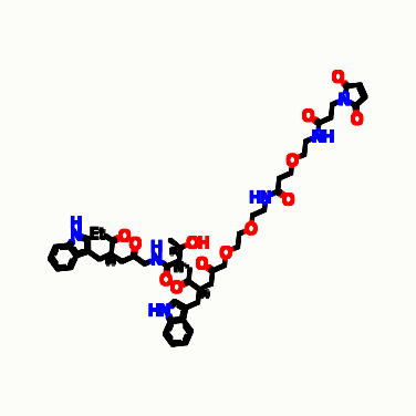 CCC(=O)[C@@H](CC(=O)CNC(=O)[C@@H](CC(=O)[C@@H](CC(=O)COCCOCCNC(=O)CCOCCNC(=O)CCN1C(=O)C=CC1=O)Cc1c[nH]c2ccccc12)[C@@H](C)O)Cc1c[nH]c2ccccc12